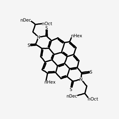 CCCCCCCCCCC(CCCCCCCC)Cn1c(=S)c2cc3cc(CCCCCC)c4cc5c(=S)n(CC(CCCCCCCC)CCCCCCCCCC)c(=S)c6cc7cc(CCCCCC)c8cc(c1=S)c2c1c3c4c(c65)c7c81